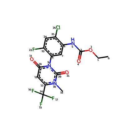 CCOC(=O)Nc1cc(-n2c(=O)cc(C(F)(F)F)n(C)c2=O)c(F)cc1Cl